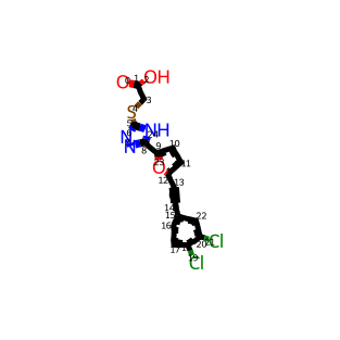 O=C(O)CSc1nnc(-c2ccc(C#Cc3ccc(Cl)c(Cl)c3)o2)[nH]1